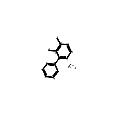 C.Cc1cccc(-c2ccccc2)c1C